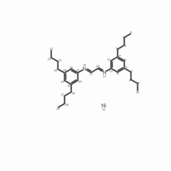 CCCCc1cc(CCCC)cc(N=CC=Nc2cc(CCCC)cc(CCCC)c2)c1.[Ni]